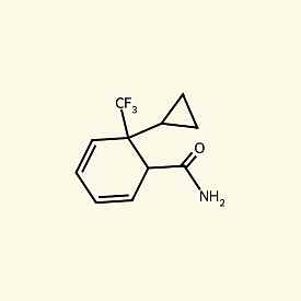 NC(=O)C1C=CC=CC1(C1CC1)C(F)(F)F